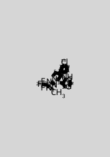 Cc1nc(N2CCc3c([nH]c4ccc(Cl)cc34)[C@@H]2CC2COCOC2)nc(C(F)(F)F)n1